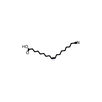 N#CCCCCCCC/C=C\CCCCCCCC(=O)O